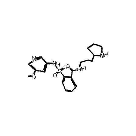 COc1cncc(NS(=O)(=O)c2ccccc2C(=O)NCCC2CCCN2)c1